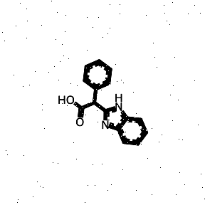 O=C(O)C(c1ccccc1)c1nc2ccccc2[nH]1